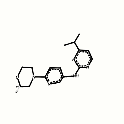 CC(C)c1ccnc(Nc2ccc(N3CCO[C@@H](C)C3)nc2)n1